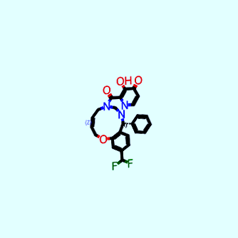 O=C1c2c(O)c(=O)ccn2N2CN1C/C=C\COc1cc(C(F)F)ccc1[C@H]2c1ccccc1